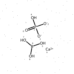 O=P([O-])([O-])O.OB(O)O.[Ca+2]